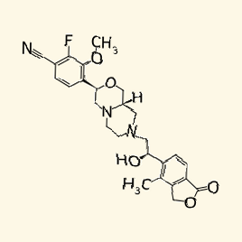 COc1c([C@@H]2CN3CCN(C[C@H](O)c4ccc5c(c4C)COC5=O)C[C@H]3CO2)ccc(C#N)c1F